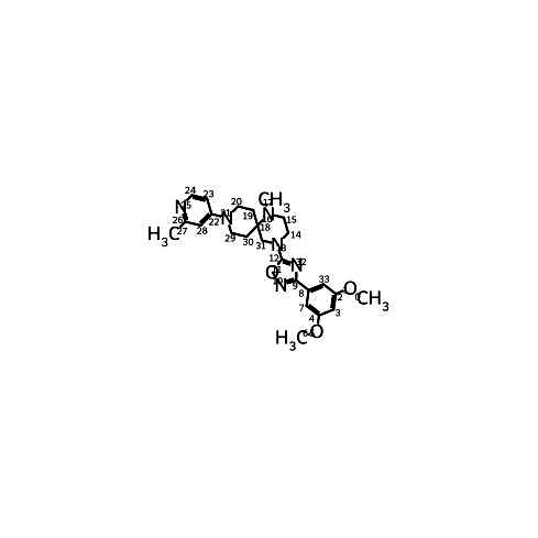 COc1cc(OC)cc(-c2noc(N3CCN(C)C4(CCN(c5ccnc(C)c5)CC4)C3)n2)c1